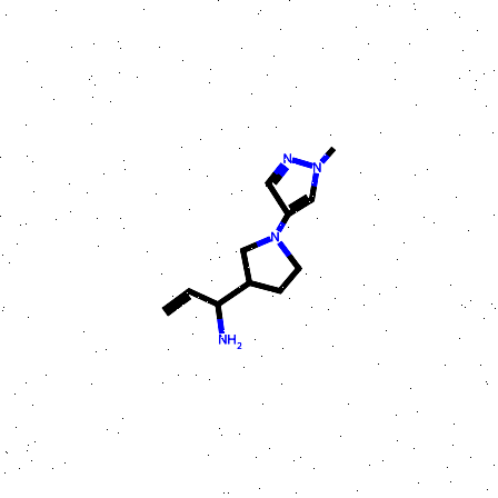 C=CC(N)C1CCN(c2cnn(C)c2)C1